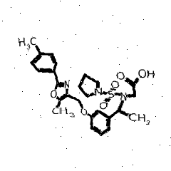 Cc1ccc(-c2nc(COc3cccc(C(C)N(CC(=O)O)S(=O)(=O)N4CCCC4)c3)c(C)o2)cc1